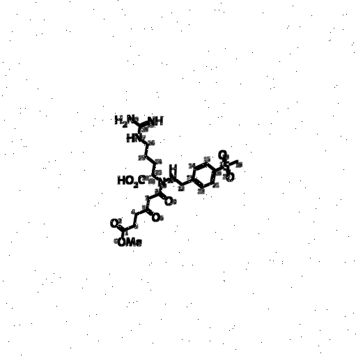 COC(=O)CCC(=O)CC(=O)N(NCc1ccc(S(C)(=O)=O)cc1)[C@@H](CCCNC(=N)N)C(=O)O